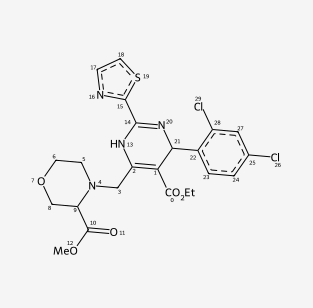 CCOC(=O)C1=C(CN2CCOCC2C(=O)OC)NC(c2nccs2)=NC1c1ccc(Cl)cc1Cl